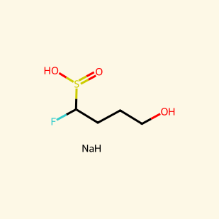 O=S(O)C(F)CCCO.[NaH]